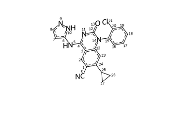 N#Cc1cc2c(Nc3ccn[nH]3)nc(=O)n(-c3ccccc3Cl)c2cc1C1CC1